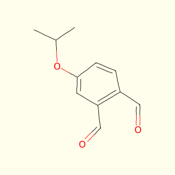 CC(C)Oc1ccc(C=O)c(C=O)c1